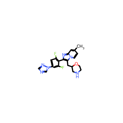 Cc1ccn2c(CC3CNCCO3)c(-c3c(F)cc(-n4cncn4)cc3F)nc2c1